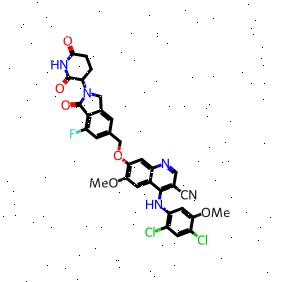 COc1cc(Nc2c(C#N)cnc3cc(OCc4cc(F)c5c(c4)CN(C4CCC(=O)NC4=O)C5=O)c(OC)cc23)c(Cl)cc1Cl